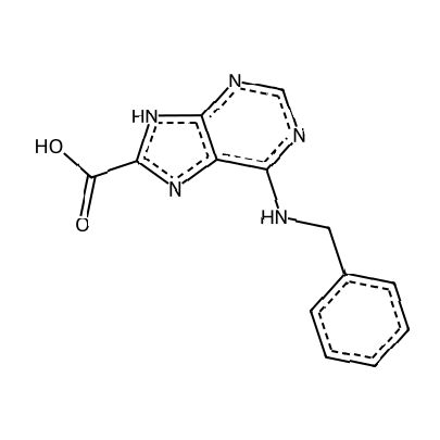 O=C(O)c1nc2c(NCc3ccccc3)ncnc2[nH]1